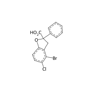 O=C(O)C1(c2ccccc2)Cc2c(ccc(Cl)c2Br)O1